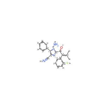 CC(C)=C(C(=O)c1nc(C#N)c(-c2ccccc2)n1N)c1ccccc1F